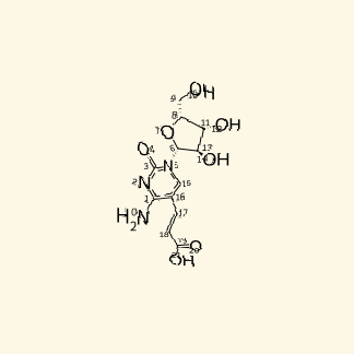 Nc1nc(=O)n([C@@H]2O[C@H](CO)[C@H](O)[C@H]2O)cc1C=CC(=O)O